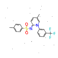 Cc1ccc(S(=O)(=O)/N=c2\ccc(C)cn2-c2cccc(C(F)(F)F)c2)cc1